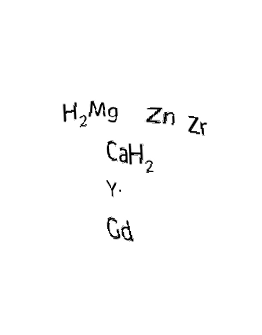 [CaH2].[Gd].[MgH2].[Y].[Zn].[Zr]